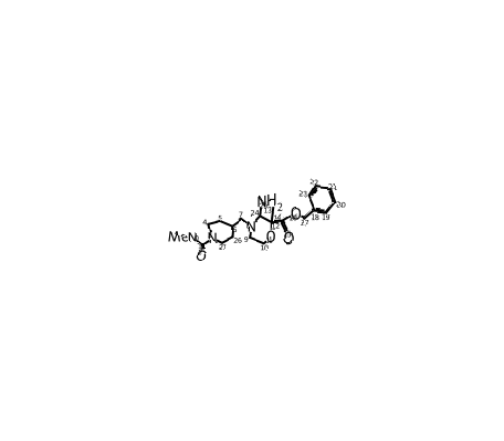 CNC(=O)N1CCC(CN2CCOC(C)(C(=O)OCc3ccccc3)C2N)CC1